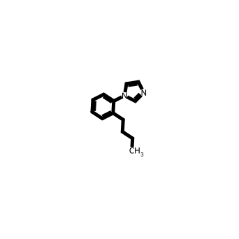 CCCCc1ccccc1-n1ccnc1